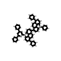 c1ccc(-c2cc(-c3ccccc3)nc(-n3c4ccc(-c5ccccc5)c5ccc6c(-c7ccc8c9c7ccc7c(-c%10ccccc%10)ccc(c79)n8-c7ccccc7)ccc3c6c54)c2)cc1